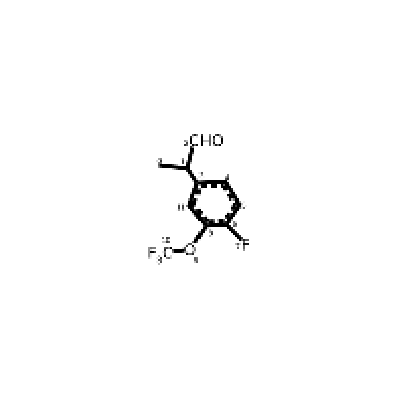 CC(C=O)c1ccc(F)c(OC(F)(F)F)c1